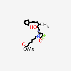 COC(=O)CCCCCCN1C(=O)C(F)(F)C[C@@H]1/C=C/C(O)C(C)CC#Cc1ccccc1